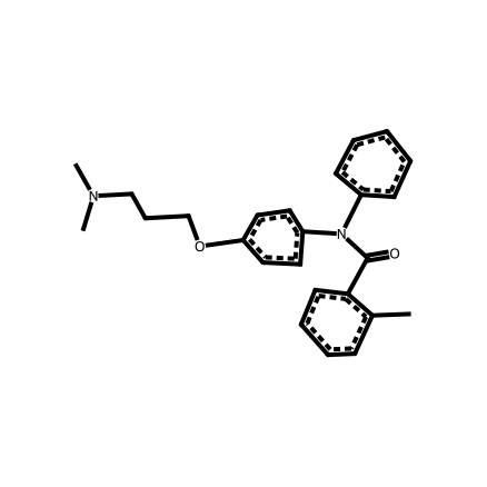 Cc1ccccc1C(=O)N(c1ccccc1)c1ccc(OCCCN(C)C)cc1